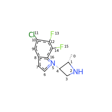 C[C@@H]1NC[C@@H]1n1ccc2cc(Cl)c(F)c(F)c21